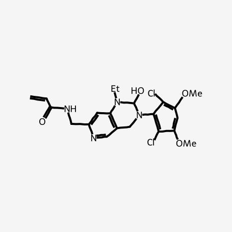 C=CC(=O)NCc1cc2c(cn1)CN(c1c(Cl)c(OC)cc(OC)c1Cl)C(O)N2CC